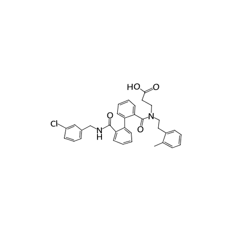 Cc1ccccc1CCN(CCC(=O)O)C(=O)c1ccccc1-c1ccccc1C(=O)NCc1cccc(Cl)c1